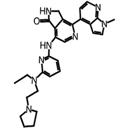 CCN(CCN1CCCC1)c1cccc(Nc2cnc(-c3ccnc4c3ccn4C)c3c2C(=O)NC3)n1